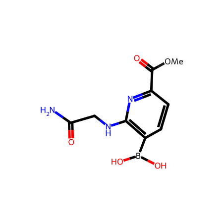 COC(=O)c1ccc(B(O)O)c(NCC(N)=O)n1